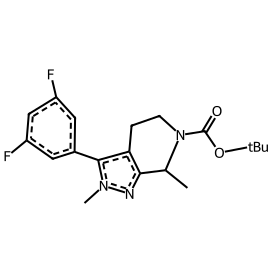 CC1c2nn(C)c(-c3cc(F)cc(F)c3)c2CCN1C(=O)OC(C)(C)C